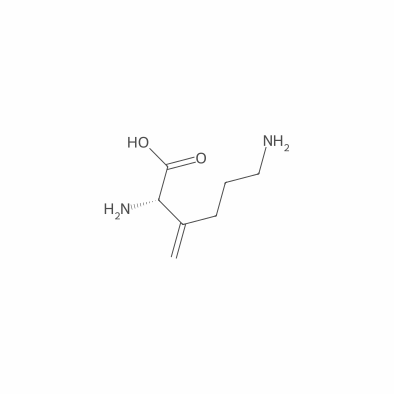 C=C(CCCN)[C@H](N)C(=O)O